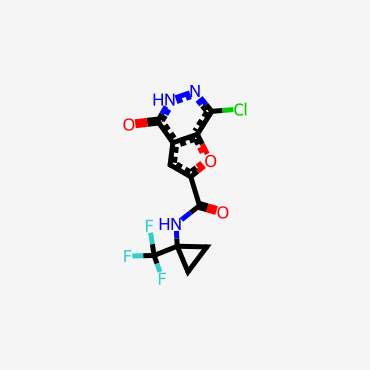 O=C(NC1(C(F)(F)F)CC1)c1cc2c(=O)[nH]nc(Cl)c2o1